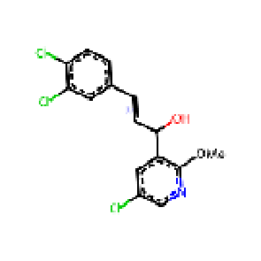 COc1ncc(Cl)cc1C(O)/C=C/c1ccc(Cl)c(Cl)c1